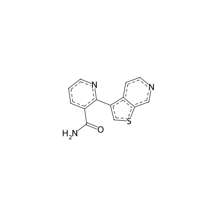 NC(=O)c1cccnc1-c1csc2cnccc12